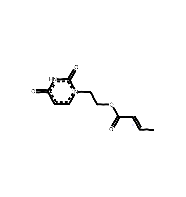 C/C=C/C(=O)OCCn1ccc(=O)[nH]c1=O